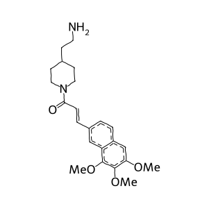 COc1cc2ccc(C=CC(=O)N3CCC(CCN)CC3)cc2c(OC)c1OC